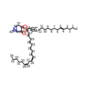 CCCC/C=C/CCCCCCCCCCC1(CCCCCCCC/C=C\C/C=C\CCCCC)OC2CCN(C)CC2O1